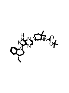 CC[C@@H]1CCN(c2n[nH]c3nc(N4CCC(C)(CNC(=O)OC(C)(C)C)CC4)cnc23)c2ccccc21